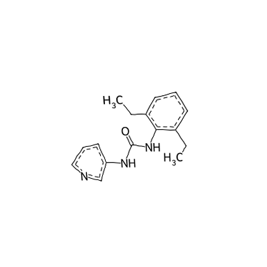 CCc1cccc(CC)c1NC(=O)Nc1cccnc1